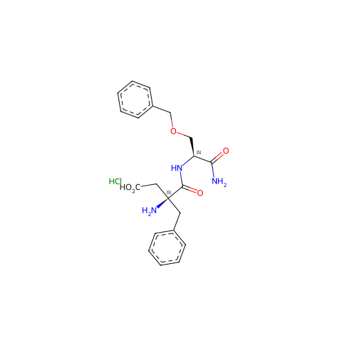 Cl.NC(=O)[C@H](COCc1ccccc1)NC(=O)[C@@](N)(CC(=O)O)Cc1ccccc1